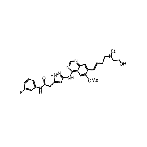 CCN(CCO)CC/C=C/c1cc2ncnc(Nc3cc(CC(=O)Nc4cccc(F)c4)[nH]n3)c2cc1OC